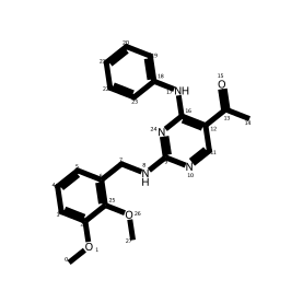 COc1cccc(CNc2ncc(C(C)=O)c(Nc3ccccc3)n2)c1OC